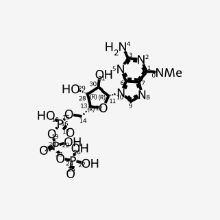 CNc1nc(N)nc2c1ncn2[C@@H]1O[C@H](COP(=O)(O)OP(=O)(O)OP(=O)(O)O)[C@H](O)C1O